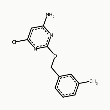 Cc1cccc(COc2nc(N)cc(Cl)n2)c1